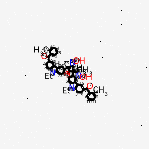 CCn1c2ccc(C(=O)c3ccccc3C)cc2c2cc(C(C)(C(=O)C(C)(C(C)=NO)c3ccc4c(c3)c3cc(C(=O)c5ccccc5C)ccc3n4CC)C(C)=NO)ccc21